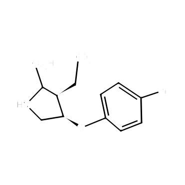 O=C(O)C[C@@H]1C(C(=O)O)NC[C@@H]1Sc1ccc(Br)cc1